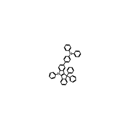 c1ccc(N(c2ccccc2)c2ccc(-c3ccc4c(c3)c3c(n4-c4ccccc4)-c4ccccc4C3(c3ccccc3)c3ccccc3)cc2)cc1